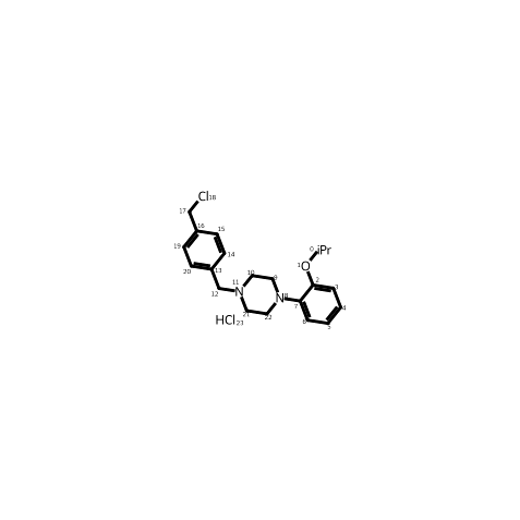 CC(C)Oc1ccccc1N1CCN(Cc2ccc(CCl)cc2)CC1.Cl